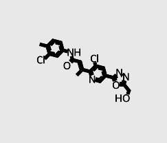 C/C(=C\C(=O)Nc1ccc(C)c(Cl)c1)c1ncc(-c2nnc(CO)o2)cc1Cl